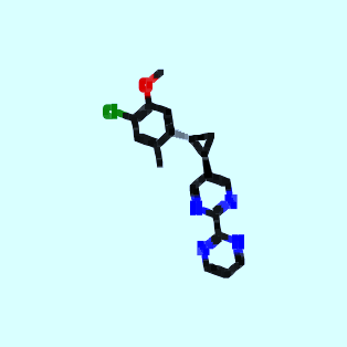 COc1cc([C@@H]2C[C@H]2c2cnc(-c3ncccn3)nc2)c(C)cc1Cl